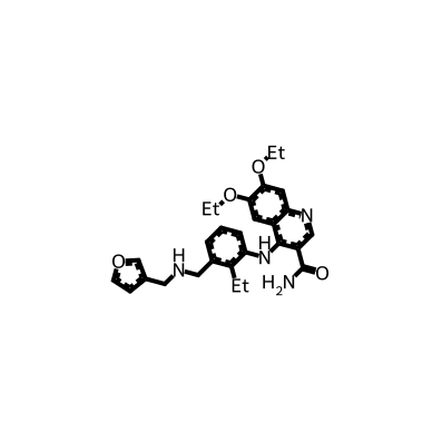 CCOc1cc2ncc(C(N)=O)c(Nc3cccc(CNCc4ccoc4)c3CC)c2cc1OCC